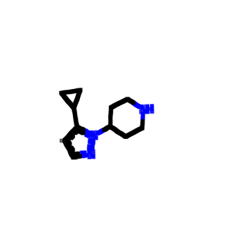 [c]1cnn(C2CCNCC2)c1C1CC1